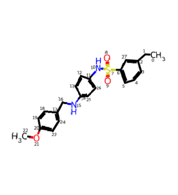 CCc1cccc(S(=O)(=O)Nc2ccc(NCc3ccc(OC)cc3)cc2)c1